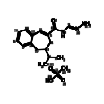 CC(C)C1CC(C(=O)NC=NN)=Cc2ccccc2C1.CS(=O)(=O)O